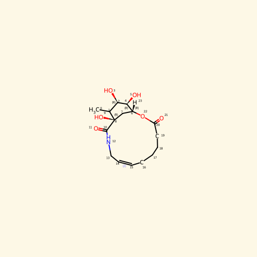 CC1[C@@H](O)[C@@H](O)[C@H]2C[C@]1(O)C(=O)NC/C=C\CCCCC(=O)O2